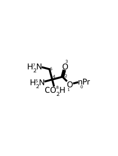 CCCOC(=O)C(N)(CN)C(=O)O